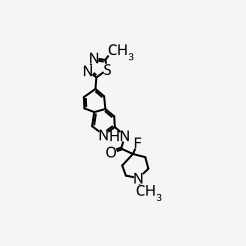 Cc1nnc(-c2ccc3cnc(NC(=O)C4(F)CCN(C)CC4)cc3c2)s1